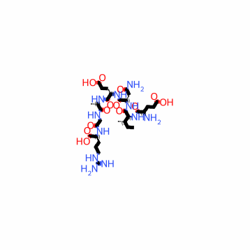 CC[C@H](C)[C@H](NC(=O)[C@@H](N)CCC(=O)O)C(=O)N[C@@H](CC(N)=O)C(=O)N[C@@H](CCC(=O)O)C(=O)N[C@@H](C)C(=O)NCC(=O)N[C@@H](CCCNC(=N)N)C(=O)O